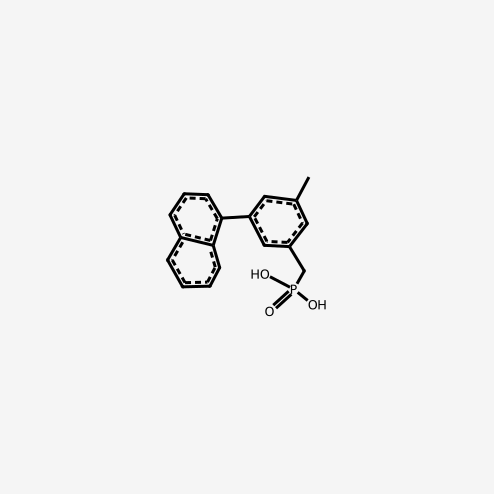 Cc1cc(CP(=O)(O)O)cc(-c2cccc3ccccc23)c1